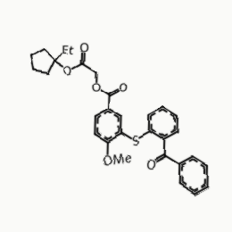 CCC1(OC(=O)COC(=O)c2ccc(OC)c(Sc3ccccc3C(=O)c3ccccc3)c2)CCCC1